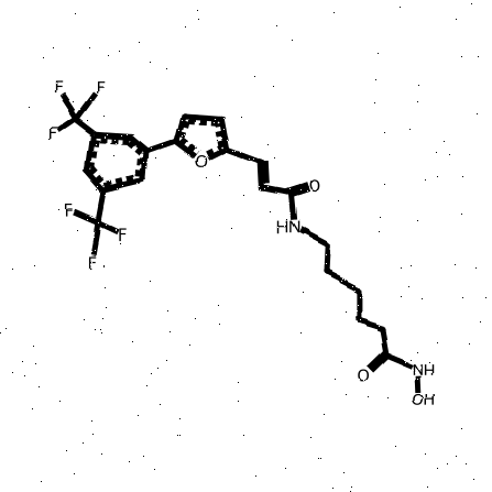 O=C(C=Cc1ccc(-c2cc(C(F)(F)F)cc(C(F)(F)F)c2)o1)NCCCCCC(=O)NO